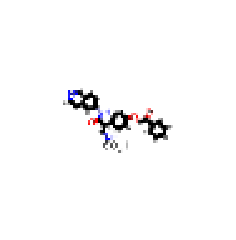 O=C(O)NCC(C(=O)Nc1ccc2cnccc2c1)c1ccc(OCC(=O)c2ccccc2)cc1